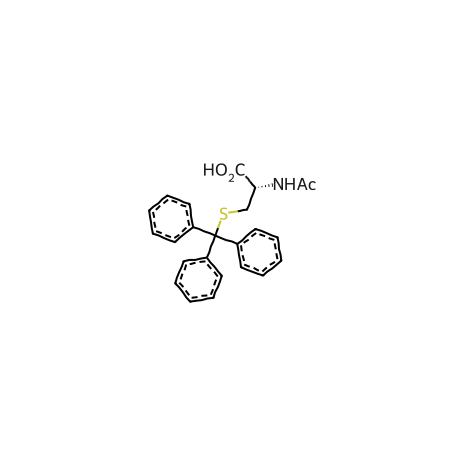 CC(=O)N[C@H](CSC(c1ccccc1)(c1ccccc1)c1ccccc1)C(=O)O